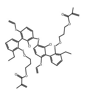 C=CSc1ccc(Sc2ccc(SC=C)c(-c3cccc(CC)c3SOCCCOC(=O)C(=C)C)c2Cl)c(Cl)c1-c1cccc(CC)c1SOCCCOC(=O)C(=C)C